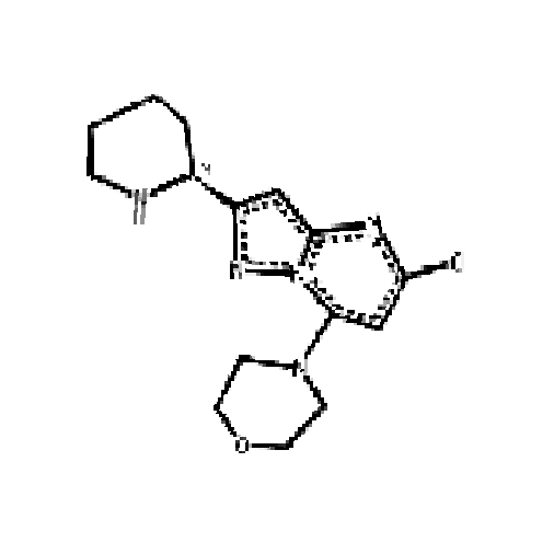 Clc1cc(N2CCOCC2)n2nc([C@@H]3CCCCN3)cc2n1